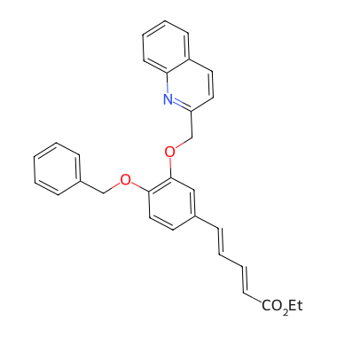 CCOC(=O)/C=C/C=C/c1ccc(OCc2ccccc2)c(OCc2ccc3ccccc3n2)c1